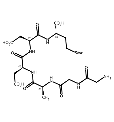 CSCC[C@H](NC(=O)[C@H](CC(=O)O)NC(=O)[C@H](CC(=O)O)NC(=O)[C@H](C)NC(=O)CNC(=O)CN)C(=O)O